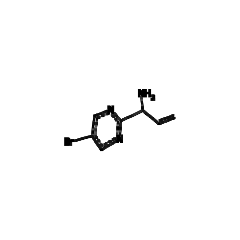 C=CC(N)c1ncc(Br)cn1